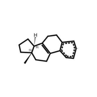 C[C@@]12CCC[C@H]1C1=C(CC2)c2cc[c]cc2CC1